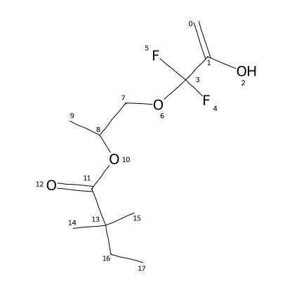 C=C(O)C(F)(F)OCC(C)OC(=O)C(C)(C)CC